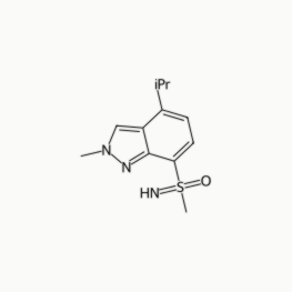 CC(C)c1ccc(S(C)(=N)=O)c2nn(C)cc12